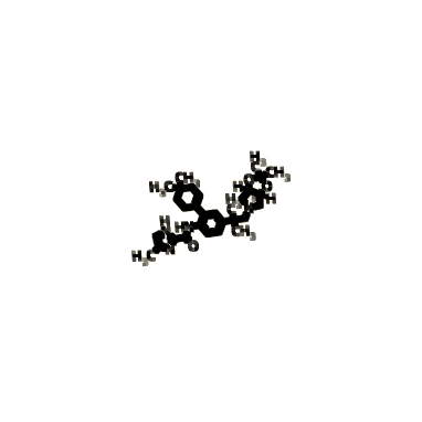 Cc1c[nH]c(C(=O)Nc2ccc(C(C)(C)CN3C[C@@H]4OC(C)(C)O[C@@H]4C3)cc2C2=CCC(C)(C)CC2)n1